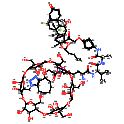 CCCC1O[C@@H]2C[C@H]3[C@@H]4C[C@H](F)C5=CC(=O)C=C[C@]5(C)[C@@]4(F)[C@@H](O)C[C@]3(C)[C@]2(C(=O)COc2ccc(NC(=O)[C@H](C)NC(=O)[C@@H](NC(=O)[C@H](N)CCCCNC(=O)COC3CCCCCc4c3nnn4CC3OC4OC5C(CO)OC(OC6C(CO)OC(OC7C(CO)OC(OC8C(CO)OC(OC9C(CO)OC(OC3C(O)C4O)C(O)C9O)C(O)C8O)C(O)C7O)C(O)C6O)C(O)C5O)C(C)C)cc2)O1